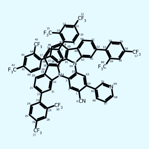 N#Cc1cc(-n2c3cc(-c4ccc(C(F)(F)F)cc4C(F)(F)F)ccc3c3ccc(-c4ccc(C(F)(F)F)cc4C(F)(F)F)cc32)c(-n2c3cc(-c4ccc(C(F)(F)F)cc4C(F)(F)F)ccc3c3ccc(-c4ccc(C(F)(F)F)cc4C(F)(F)F)cc32)cc1-c1cccnc1